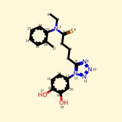 CCN(C(=S)CCCc1nnnn1-c1ccc(O)c(O)c1)c1ccccc1C